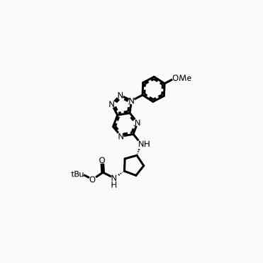 COc1ccc(-n2nnc3cnc(N[C@@H]4CC[C@H](NC(=O)OC(C)(C)C)C4)nc32)cc1